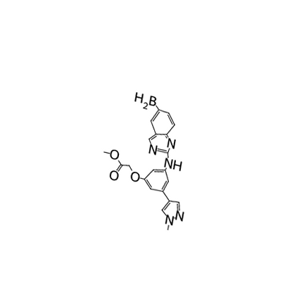 Bc1ccc2nc(Nc3cc(OCC(=O)OC)cc(-c4cnn(C)c4)c3)ncc2c1